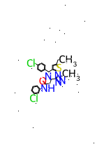 CCc1cc2c(s1)-n1c(C)nnc1C(CC(=O)Nc1cccc(Cl)c1)N=C2c1ccc(Cl)cc1